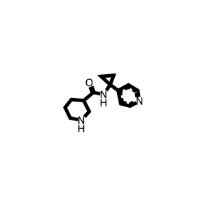 O=C(NC1(c2ccncc2)CC1)C1CCCNC1